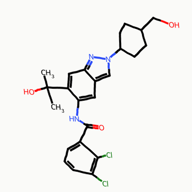 CC(C)(O)c1cc2nn(C3CCC(CO)CC3)cc2cc1NC(=O)c1cccc(Cl)c1Cl